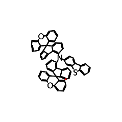 c1ccc2c(c1)Oc1ccccc1C21c2ccccc2-c2c(N(c3ccc4c(c3)sc3ccccc34)c3cccc4c3-c3ccccc3C43c4ccccc4Oc4ccccc43)cccc21